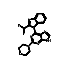 FC(F)c1nc2ccccc2n1-c1nc(N2CCOCC2)nc2[nH]cnc12